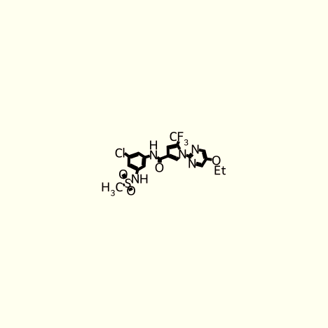 CCOc1cnc(-n2cc(C(=O)Nc3cc(Cl)cc(NS(C)(=O)=O)c3)cc2C(F)(F)F)nc1